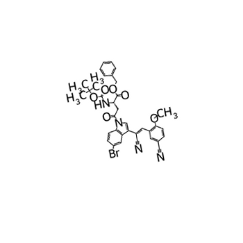 COc1ccc(C#N)cc1/C=C(\C#N)c1cn(C(=O)C[C@@H](NC(=O)OC(C)(C)C)C(=O)OCc2ccccc2)c2ccc(Br)cc12